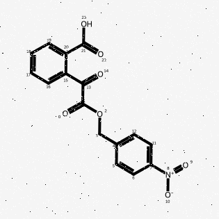 O=C(OCc1ccc([N+](=O)[O-])cc1)C(=O)c1ccccc1C(=O)O